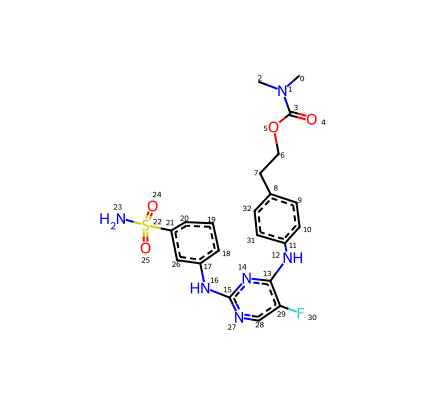 CN(C)C(=O)OCCc1ccc(Nc2nc(Nc3cccc(S(N)(=O)=O)c3)ncc2F)cc1